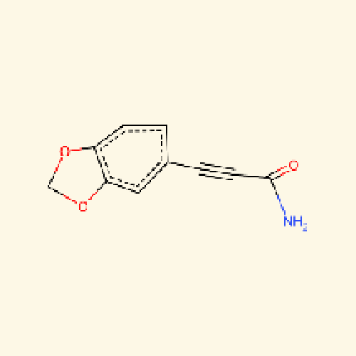 NC(=O)C#Cc1ccc2c(c1)OCO2